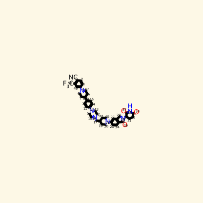 N#Cc1ccc(N2CCC(c3ccc(N4CCN(CC5CCN(c6ccc7c(c6)CN(C6CCC(=O)NC6=O)C7=O)CC5)CC4)cc3)CC2)cc1C(F)(F)F